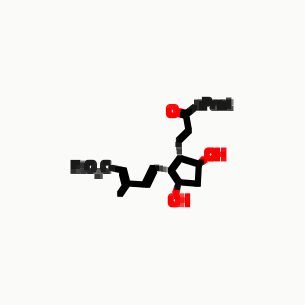 CCCCCC(=O)CC[C@H]1[C@@H](C=CC(C)=CC(=O)OCC)[C@H](O)C[C@@H]1O